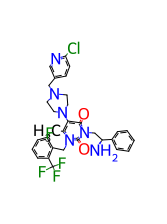 Cc1c(N2CCN(Cc3ccc(Cl)nc3)CC2)c(=O)n(C[C@H](N)c2ccccc2)c(=O)n1Cc1c(F)cccc1C(F)(F)F